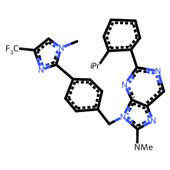 CNc1nc2cnc(-c3ccccc3C(C)C)nc2n1Cc1ccc(-c2nc(C(F)(F)F)cn2C)cc1